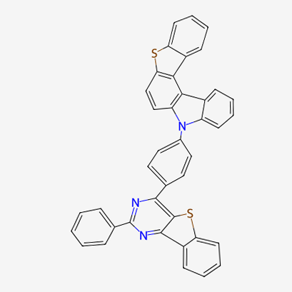 c1ccc(-c2nc(-c3ccc(-n4c5ccccc5c5c6c(ccc54)sc4ccccc46)cc3)c3sc4ccccc4c3n2)cc1